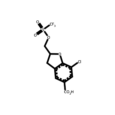 O=C(O)c1cc(Cl)c2c(c1)CC(COS(=O)(=O)C(F)(F)F)O2